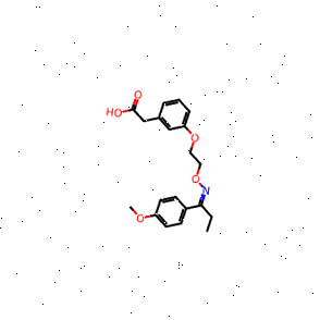 CCC(=NOCCOc1cccc(CC(=O)O)c1)c1ccc(OC)cc1